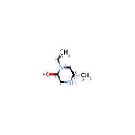 CCN1C[C@@H](C)NCC1=O